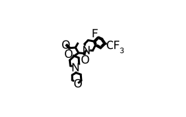 CC1C(=O)OC2(CCN(C3CCOCC3)CC2)C1C(=O)N1CCc2c(F)cc(C(F)(F)F)cc2C1